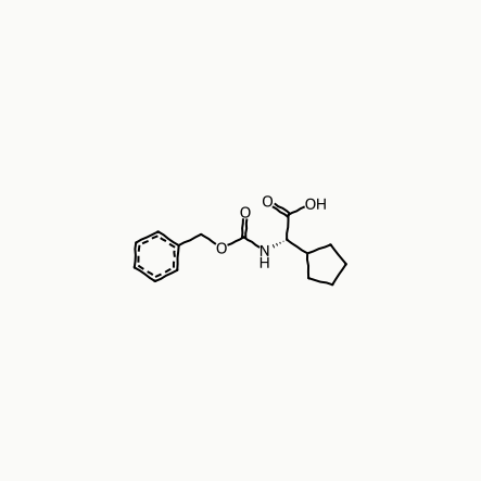 O=C(N[C@H](C(=O)O)C1CCCC1)OCc1ccccc1